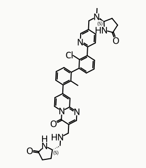 Cc1c(-c2ccn3c(=O)c(CNC[C@@H]4CCC(=O)N4)cnc3c2)cccc1-c1cccc(-c2ccc(CN(C)[C@H]3CCC(=O)N3)cn2)c1Cl